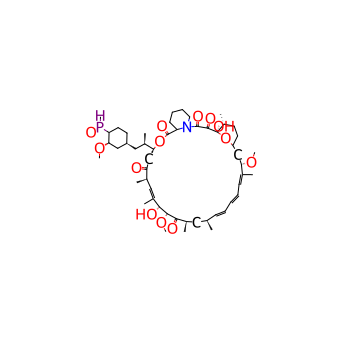 CO[C@H]1CC2CC[C@@H](C)[C@@](O)(O2)C(=O)C(=O)N2CCCCC2C(=O)O[C@H]([C@H](C)C[C@@H]2CCC([PH](C)=O)[C@H](OC)C2)CC(=O)[C@H](C)/C=C(\C)[C@@H](O)[C@@H](OC)C(=O)[C@H](C)C[C@H](C)/C=C/C=C/C=C/1C